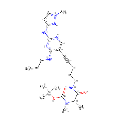 CCCNc1nc(Nc2ccn(C)n2)ncc1C#CCCCNC(=O)[C@H](C)N(C)C(=O)OC(C)(C)C